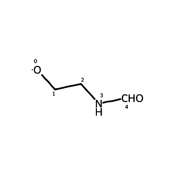 [O]CCNC=O